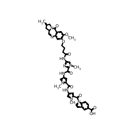 C=C1CC2C=Nc3cc(OCCCC(=O)Nc4cn(C)c(C(=O)Nc5cc(C(=O)Nc6cc(C(=O)n7ccc8cc(C(=O)O)ccc87)n(C)c6)n(C)c5)n4)c(OC)cc3C(=O)N2C1